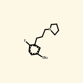 CC(C)(C)c1ccc(F)c(CCCN2CCCC2)c1